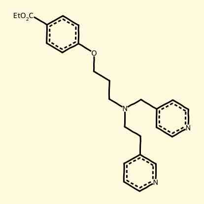 CCOC(=O)c1ccc(OCCCN(CCc2cccnc2)Cc2ccncc2)cc1